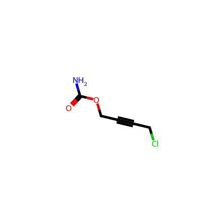 NC(=O)OCC#CCCl